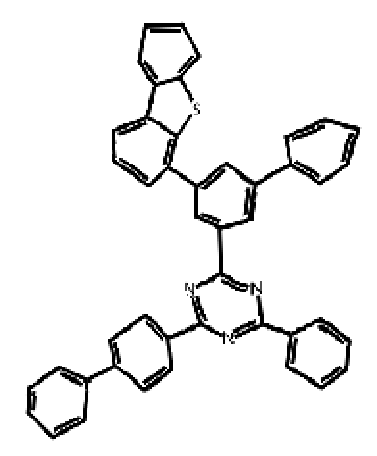 c1ccc(-c2ccc(-c3nc(-c4ccccc4)nc(-c4cc(-c5ccccc5)cc(-c5cccc6c5sc5ccccc56)c4)n3)cc2)cc1